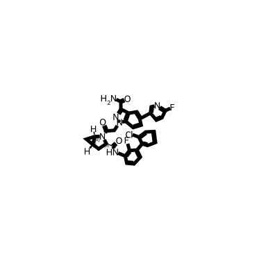 NC(=O)c1nn(CC(=O)N2[C@@H]3C[C@H]3C[C@H]2C(=O)Nc2cccc(-c3ccccc3Cl)c2F)c2ccc(-c3ccc(F)nc3)cc12